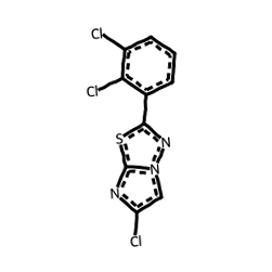 Clc1cn2nc(-c3cccc(Cl)c3Cl)sc2n1